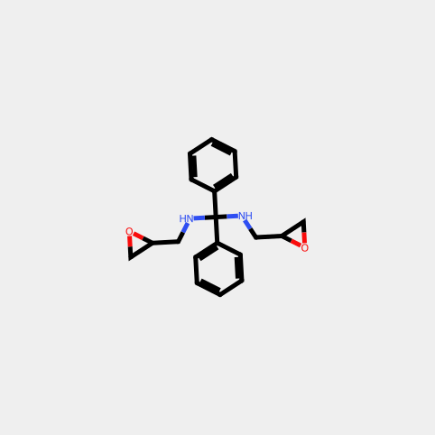 c1ccc(C(NCC2CO2)(NCC2CO2)c2ccccc2)cc1